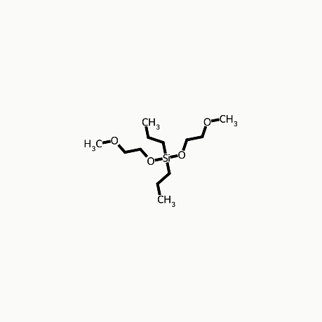 CCC[Si](CCC)(OCCOC)OCCOC